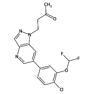 CC(=O)CCn1ncc2ncc(-c3ccc(Cl)c(OC(F)F)c3)cc21